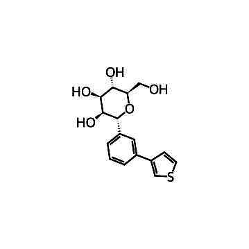 OC[C@H]1O[C@H](c2cccc(-c3ccsc3)c2)[C@@H](O)[C@@H](O)[C@@H]1O